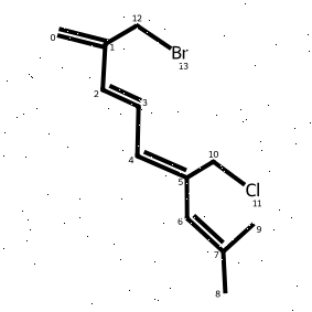 C=C(C=CC=C(C=C(C)C)CCl)CBr